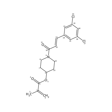 C=C(C)C(=O)OC1CCN(C(=O)/C=C/c2cc(Cl)cc(Cl)c2)CC1